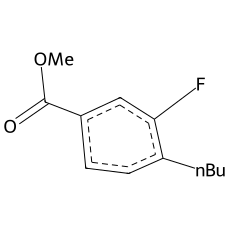 CCCCc1ccc(C(=O)OC)cc1F